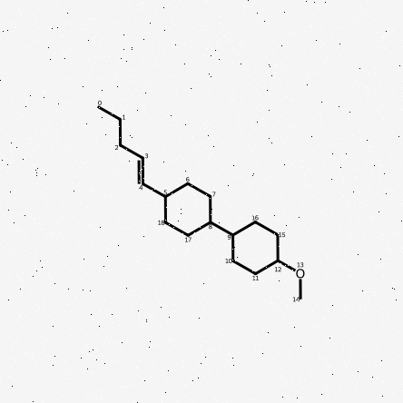 CCC/C=C/C1CCC(C2CCC(OC)CC2)CC1